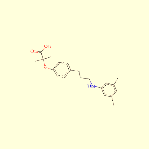 Cc1cc(C)cc(NCCCc2ccc(OC(C)(C)C(=O)O)cc2)c1